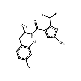 CC(Cc1ccc(Br)cc1Cl)NC(=O)c1cn(C)nc1C(F)F